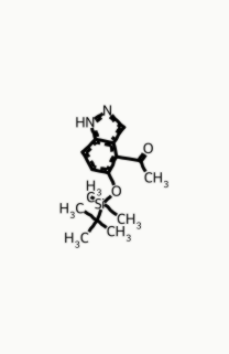 CC(=O)c1c(O[Si](C)(C)C(C)(C)C)ccc2[nH]ncc12